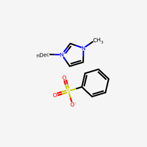 CCCCCCCCCC[n+]1ccn(C)c1.O=S(=O)([O-])c1ccccc1